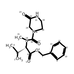 CC(C)[C@@H](C(=O)OCc1ccccc1)N(C)C(=O)N1CCNC(=O)C1